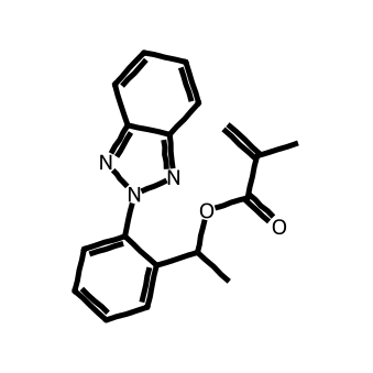 C=C(C)C(=O)OC(C)c1ccccc1-n1nc2ccccc2n1